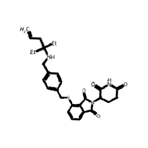 C=CCC(CC)(CC)NCc1ccc(CSc2cccc3c2C(=O)N(C2CCC(=O)NC2=O)C3=O)cc1